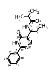 CCC(NC(=O)C(C)C)c1nnc(-c2ccccc2)[nH]c1=O